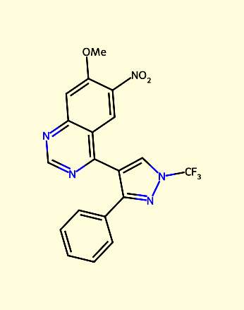 COc1cc2ncnc(-c3cn(C(F)(F)F)nc3-c3ccccc3)c2cc1[N+](=O)[O-]